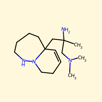 CN(C)CC(C)(N)CC12C=CCCN1NCCCC2